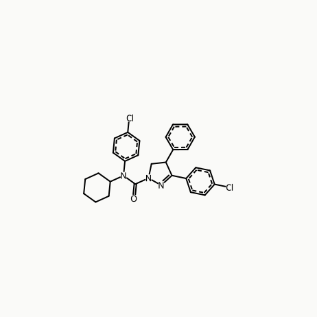 O=C(N1CC(c2ccccc2)C(c2ccc(Cl)cc2)=N1)N(c1ccc(Cl)cc1)C1CCCCC1